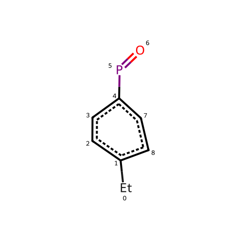 CCc1ccc(P=O)cc1